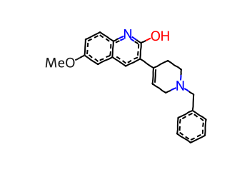 COc1ccc2nc(O)c(C3=CCN(Cc4ccccc4)CC3)cc2c1